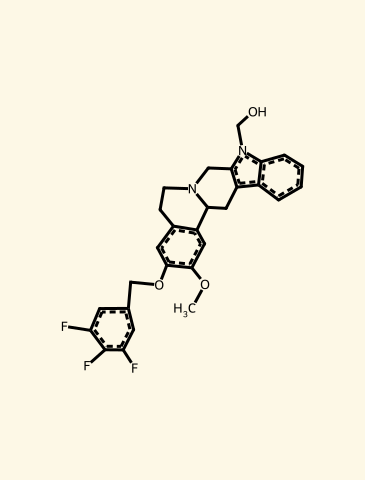 COc1cc2c(cc1OCc1cc(F)c(F)c(F)c1)CCN1Cc3c(c4ccccc4n3CO)CC21